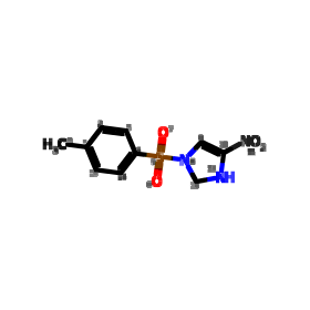 Cc1ccc(S(=O)(=O)N2C=C([N+](=O)[O-])NC2)cc1